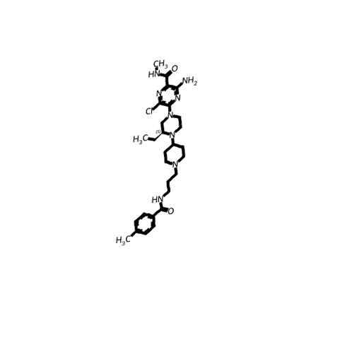 CC[C@H]1CN(c2nc(N)c(C(=O)NC)nc2Cl)CCN1C1CCN(CCCNC(=O)c2ccc(C)cc2)CC1